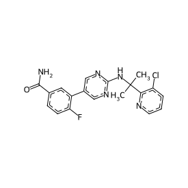 CC(C)(Nc1ncc(-c2cc(C(N)=O)ccc2F)cn1)c1ncccc1Cl